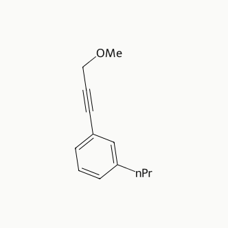 CCCc1cccc(C#CCOC)c1